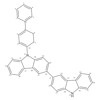 C1=C(c2ccccc2)CCC(n2c3ccccc3c3cc(-c4ccc5[nH]c6ccccc6c5c4)ccc32)=C1